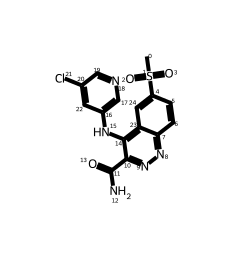 CS(=O)(=O)c1ccc2nnc(C(N)=O)c(Nc3cncc(Cl)c3)c2c1